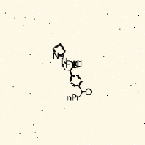 CCCC(=O)c1ccc(C2CCN(c3ccccn3)CC2)cc1.Cl.Cl